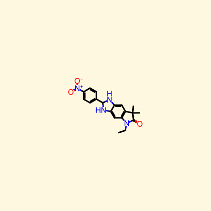 CCN1C(=O)C(C)(C)c2cc3c(cc21)NC(c1ccc([N+](=O)[O-])cc1)N3